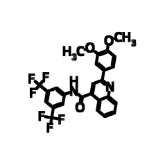 COc1ccc(-c2cc(C(=O)Nc3cc(C(F)(F)F)cc(C(F)(F)F)c3)c3ccccc3n2)cc1OC